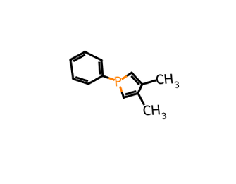 Cc1cp(-c2ccccc2)cc1C